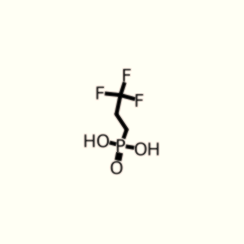 O=P(O)(O)CCC(F)(F)F